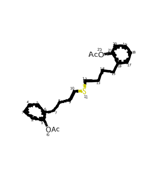 CC(=O)Oc1ccccc1CCCCSCCCCc1ccccc1OC(C)=O